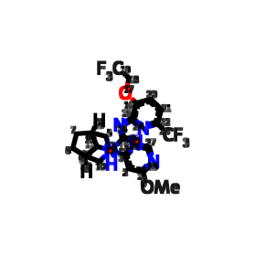 COc1cc(N2C[C@H]3CC[C@@H](C2)C3Nc2nc3c(OCC(F)(F)F)ccc(C(F)(F)F)n3n2)ncn1